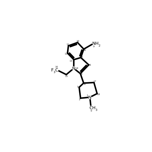 CN1CCC(c2cc3c(N)cccc3n2CC(F)(F)F)CC1